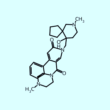 CN1CCN(C(=O)c2cn(CC3(O)CCN(C)CC34CCCC4)c(=O)cc2-c2ccccc2)CC1